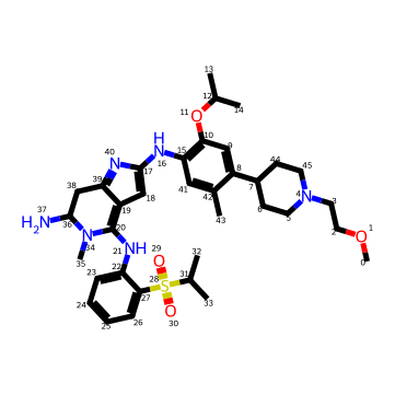 COCCN1CCC(c2cc(OC(C)C)c(NC3=CC4=C(Nc5ccccc5S(=O)(=O)C(C)C)N(C)C(N)CC4=N3)cc2C)CC1